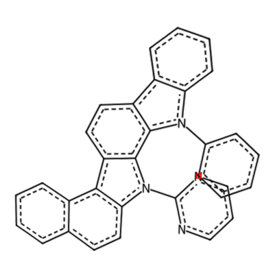 c1ccc(-n2c3ccccc3c3ccc4c5c6ccccc6ccc5n(-c5ncccn5)c4c32)cc1